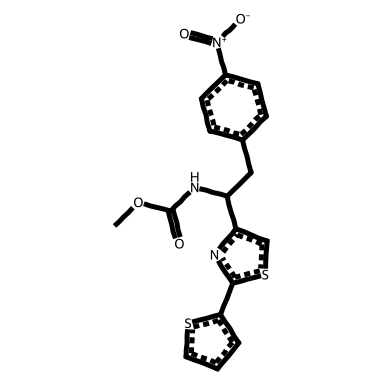 COC(=O)NC(Cc1ccc([N+](=O)[O-])cc1)c1csc(-c2cccs2)n1